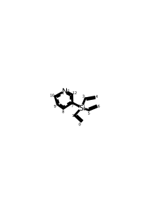 C=C[Si](C=C)(C=C)c1cccnc1